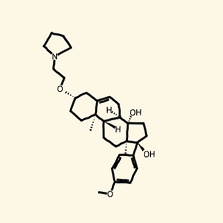 COc1ccc([C@@]2(O)CC[C@]3(O)[C@@H]4CC=C5C[C@@H](OCCN6CCCC6)CC[C@]5(C)[C@H]4CC[C@]23C)cc1